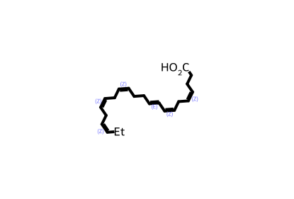 CC/C=C\C/C=C\C/C=C\CC/C=C/C=C\C/C=C\CCC(=O)O